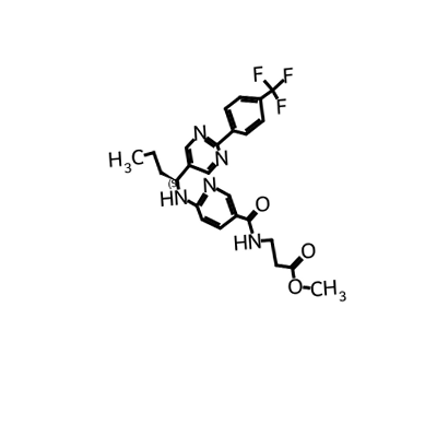 CCC[C@H](Nc1ccc(C(=O)NCCC(=O)OC)cn1)c1cnc(-c2ccc(C(F)(F)F)cc2)nc1